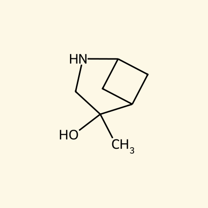 CC1(O)CNC2CC1C2